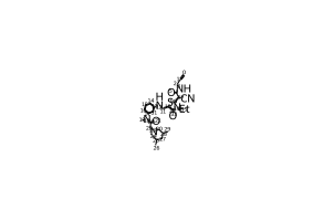 C#CCNC(=O)C(C#N)=c1sc(=CNc2cccc(N(C)C(=O)CN3CC(C)CC(C)C3)c2)c(=O)n1CC